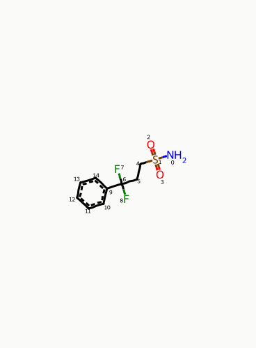 NS(=O)(=O)CCC(F)(F)c1ccccc1